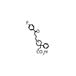 O=C(O)CCC1(c2ccccc2)CCN(CCCC(=O)c2ccc(F)cc2)CC1